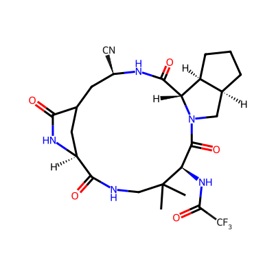 CC1(C)CNC(=O)[C@@H]2CC(C[C@@H](C#N)NC(=O)[C@@H]3[C@H]4CCC[C@H]4CN3C(=O)[C@H]1NC(=O)C(F)(F)F)C(=O)N2